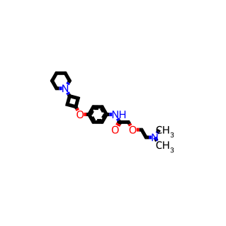 CN(C)CCOCC(=O)Nc1ccc(OC2CC(N3CCCCC3)C2)cc1